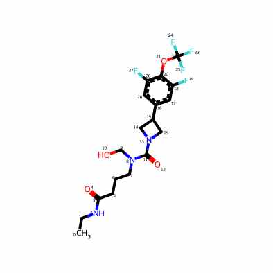 CCNC(=O)CCCN(CO)C(=O)N1CC(c2cc(F)c(OC(F)(F)F)c(F)c2)C1